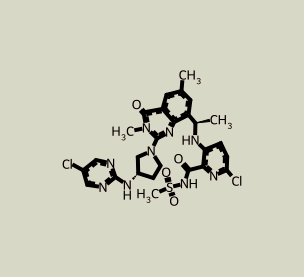 Cc1cc([C@@H](C)Nc2ccc(Cl)nc2C(=O)NS(C)(=O)=O)c2nc(N3CC[C@H](Nc4ncc(Cl)cn4)C3)n(C)c(=O)c2c1